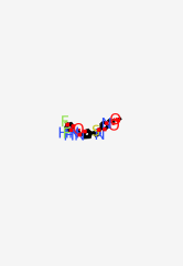 CCOC(=O)CN1CCC(c2ncc(-c3ccc(NC(=O)Nc4ccc(F)cc4F)cc3)s2)CC1